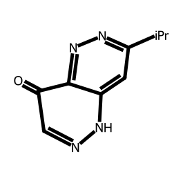 CC(C)c1cc2[nH]ncc(=O)c2nn1